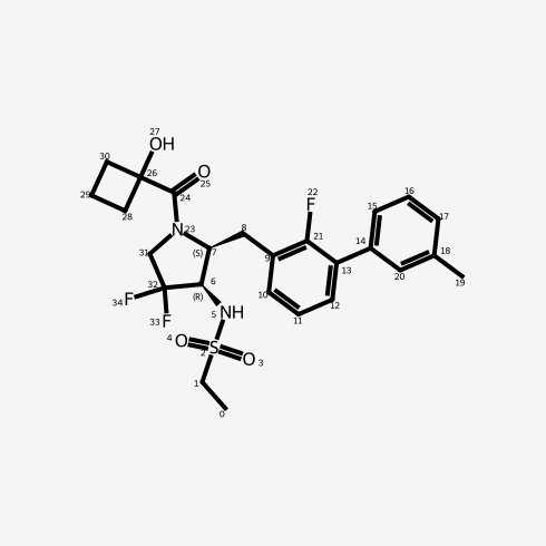 CCS(=O)(=O)N[C@@H]1[C@H](Cc2cccc(-c3cccc(C)c3)c2F)N(C(=O)C2(O)CCC2)CC1(F)F